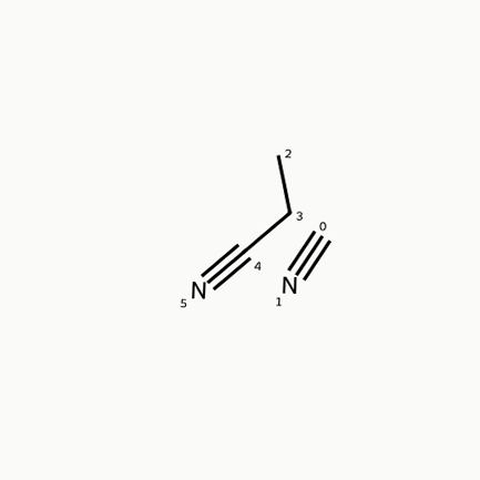 C#N.CCC#N